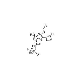 CC(O)(CNC(=O)Oc1nc(-c2cccc(Cl)c2)c(OCC2CC2)nc1C(F)(F)F)C1CC1